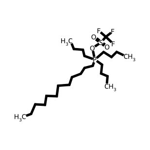 CCCCCCCCCCCCP(CCCC)(CCCC)(CCCC)OS(=O)(=O)C(F)(F)F